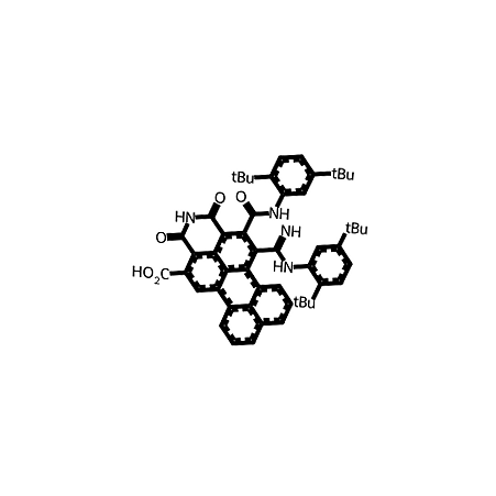 CC(C)(C)c1ccc(C(C)(C)C)c(NC(=N)c2c(C(=O)Nc3cc(C(C)(C)C)ccc3C(C)(C)C)c3c4c(c(C(=O)O)cc5c6cccc7cccc(c2c45)c76)C(=O)NC3=O)c1